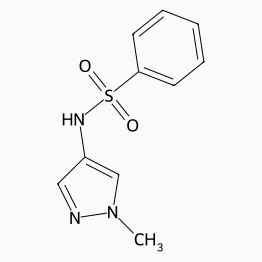 Cn1cc(NS(=O)(=O)c2ccccc2)cn1